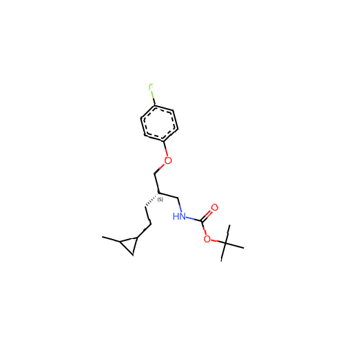 CC1CC1CC[C@@H](CNC(=O)OC(C)(C)C)COc1ccc(F)cc1